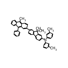 Cc1cccc(N(c2cccc(C)c2)c2ccc3c(c2)C(C)(C)c2cc(-c4ccc5c(C)c6ccccc6c(-c6ccccc6)c5c4)ccc2-3)c1